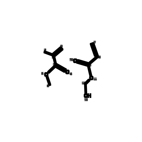 C=C(C)C(=O)OC.C=CC(=O)OCO